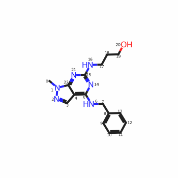 Cn1ncc2c(NCc3ccccc3)nc(NCCCO)nc21